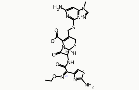 CCO/N=C(\C(=O)NC1C(=O)N2C(C(=O)[O-])=C(CSc3nc(N)cc4n(C)cn[n+]34)CS[C@@H]12)c1csc(N)n1